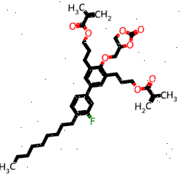 C=C(C)C(=O)OCCCc1cc(-c2ccc(CCCCCCCCC)c(F)c2)cc(CCCOC(=O)C(=C)C)c1OCC1COC(=O)O1